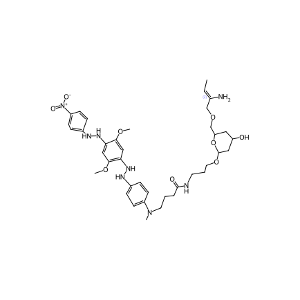 C/C=C(\N)COCC1CC(O)CC(OCCCNC(=O)CCCN(C)c2ccc(NNc3cc(OC)c(NNc4ccc([N+](=O)[O-])cc4)cc3OC)cc2)O1